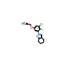 C#CCOc1cc(Cl)c(F)c(-n2cc3c(n2)CCCC3)c1